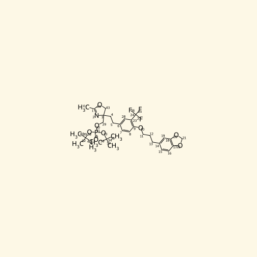 CC1=NC(CCc2ccc(OCCCc3ccc4c(c3)OCO4)c(C(F)(F)F)c2)(COP(=O)(OC(C)(C)C)OC(C)(C)C)CO1